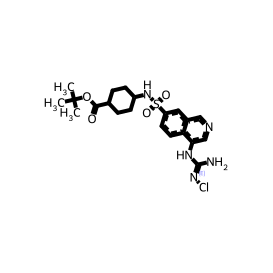 CC(C)(C)OC(=O)C1CCC(NS(=O)(=O)c2ccc3c(N/C(N)=N/Cl)cncc3c2)CC1